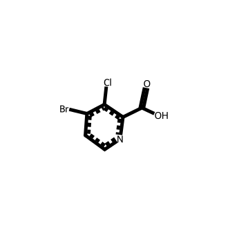 O=C(O)c1nccc(Br)c1Cl